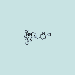 O=[N+]([O-])/N=C1/N(Cc2ccc(Cl)nc2)CCN1[N+](=O)[O-]